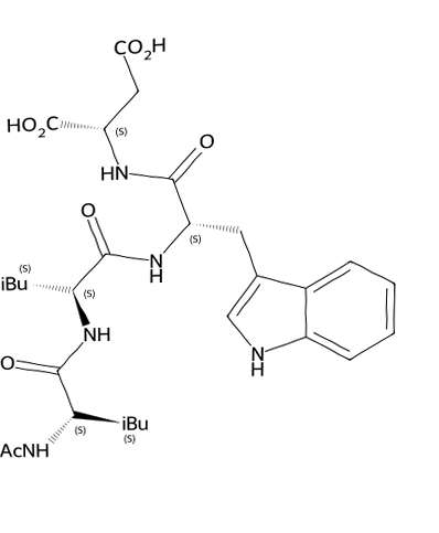 CC[C@H](C)[C@H](NC(C)=O)C(=O)N[C@H](C(=O)N[C@@H](Cc1c[nH]c2ccccc12)C(=O)N[C@@H](CC(=O)O)C(=O)O)[C@@H](C)CC